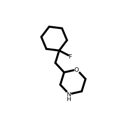 FC1(CC2CNCCO2)CCCCC1